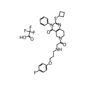 O=C(CNCCCOc1ccc(F)cc1)N1CCc2nc(SC3CCC3)n(-c3ccccc3)c(=O)c2C1.O=C(O)C(F)(F)F